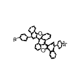 Brc1ccc(-c2cc3c(oc4cccc5c4c3c3cccc4oc6c7ccccc7c(-c7ccc(Br)cc7)cc6c5c43)c3ccccc23)cc1